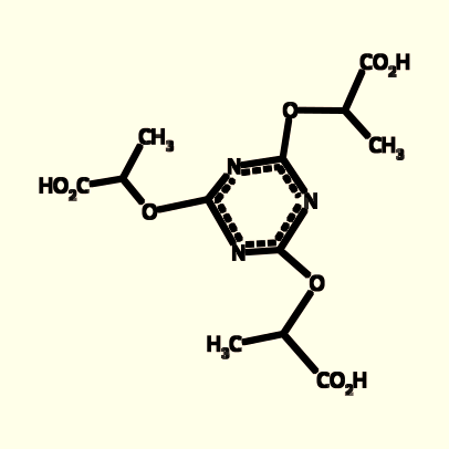 CC(Oc1nc(OC(C)C(=O)O)nc(OC(C)C(=O)O)n1)C(=O)O